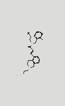 COCCN1CCc2c(/C=C/C(=O)N(CCC(C)(C)O)Cc3ccccc3C(F)(F)F)cccc2C1